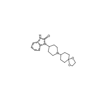 O=c1[nH]c2ccccc2n1C1CCN(C2CCC3(CC2)OCCO3)CC1